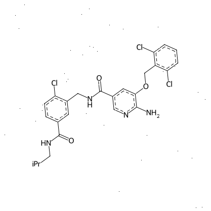 CC(C)CNC(=O)c1ccc(Cl)c(CNC(=O)c2cnc(N)c(OCc3c(Cl)cccc3Cl)c2)c1